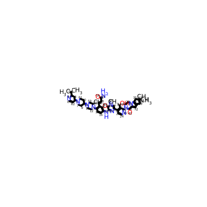 CC(C)c1cc(N2CCC(N3CCN(c4ccc(Nc5nc(-c6ccnc(N7CCn8c(cc9c8CC(C)(C)C9)C7=O)c6CO)cn(C)c5=O)cc4C=CC(N)=O)[C@@H](C)C3)CC2)ccn1